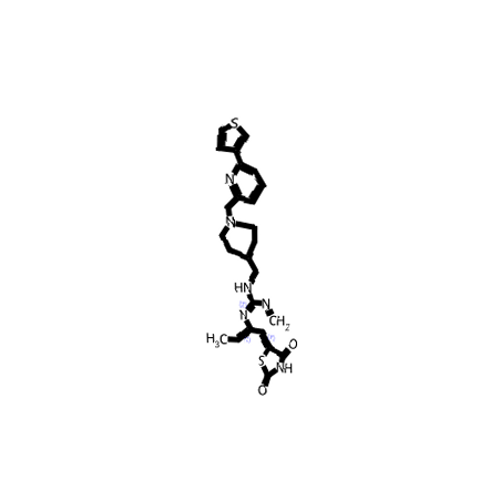 C=N\C(=N/C(=C\C)/C=C1\SC(=O)NC1=O)NCC1CCN(Cc2cccc(-c3ccsc3)n2)CC1